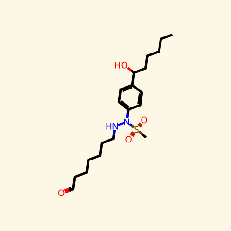 CCCCCC(O)c1ccc(N(NCCCCCCC=O)S(C)(=O)=O)cc1